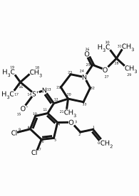 C=CCOc1cc(Cl)c(Cl)cc1C(=N[S+]([O-])C(C)(C)C)C1(C)CCN(C(=O)OC(C)(C)C)CC1